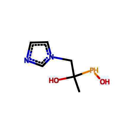 CC(O)(Cn1ccnc1)PO